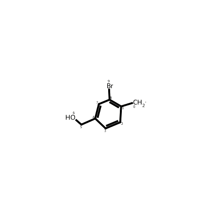 [CH2]c1ccc(CO)cc1Br